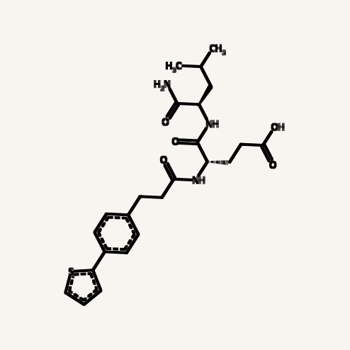 CC(C)C[C@@H](NC(=O)[C@H](CCC(=O)O)NC(=O)CCc1ccc(-c2cccs2)cc1)C(N)=O